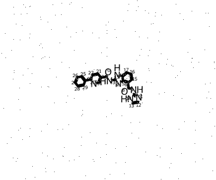 O=C(Nc1nc2c(C(=O)Nc3ncc[nH]3)cccc2[nH]1)c1ccc(-c2ccccc2)nc1